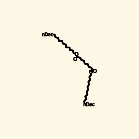 CCCCCCCCCCCCCCCCCCCCCCOC(=O)CCCCCCCC(=O)OCCCCCCCCCCCCCCCCCCCCCC